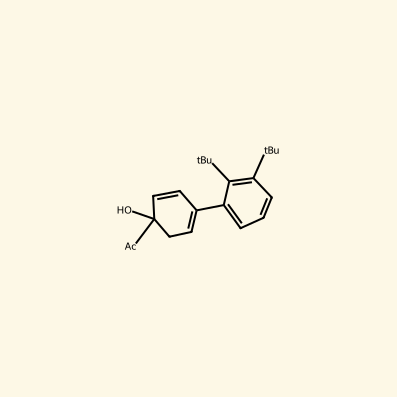 CC(=O)C1(O)C=CC(c2cccc(C(C)(C)C)c2C(C)(C)C)=CC1